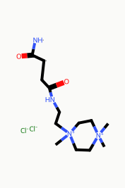 C[N+]1(C)CC[N+](C)(CCNC(=O)C[CH]C([NH])=O)CC1.[Cl-].[Cl-]